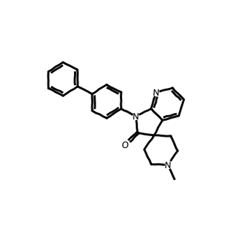 CN1CCC2(CC1)C(=O)N(c1ccc(-c3ccccc3)cc1)c1ncccc12